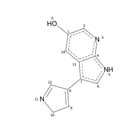 Oc1cnc2[nH]cc(C3=CCN=C3)c2c1